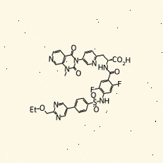 CCOCc1ncc(-c2ccc(S(=O)(=O)Nc3cc(F)c(C(=O)N[C@@H](Cc4ccc(-n5c(=O)c6ccncc6n(C)c5=O)cn4)C(=O)O)cc3F)cc2)cn1